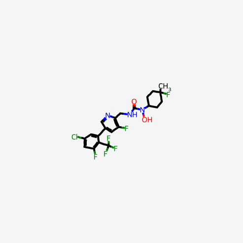 CC1(F)CCC(N(O)C(=O)NCc2ncc(-c3cc(Cl)cc(F)c3C(F)(F)F)cc2F)CC1